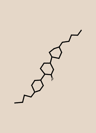 CCCCCC1CCC(C2CCC(C3CCC(CCCC)CC3)C(F)C2)CC1